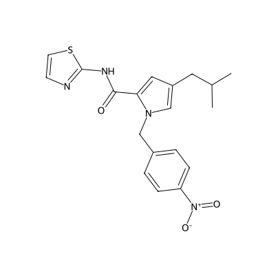 CC(C)Cc1cc(C(=O)Nc2nccs2)n(Cc2ccc([N+](=O)[O-])cc2)c1